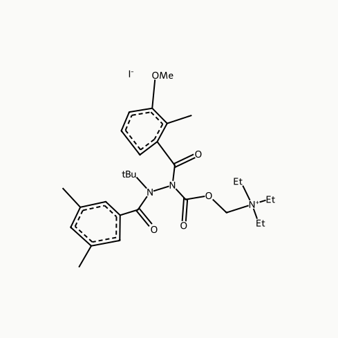 CC[N+](CC)(CC)COC(=O)N(C(=O)c1cccc(OC)c1C)N(C(=O)c1cc(C)cc(C)c1)C(C)(C)C.[I-]